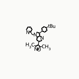 Cc1noc(C)c1-c1cnc2c(-c3ccc(C(C)(C)C)cc3)cn(Cc3ccccn3)c2c1